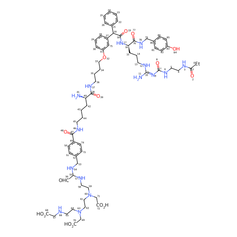 CCC(=O)NCCNC(=O)/N=C(/N)NCCC[C@@H](NC(=O)C(c1ccccc1)c1cccc(OCCCCNC(=O)[C@H](N)CCCCNC(=O)c2ccc(CNC(C=O)NCCN(CCN(CCNCC(=O)O)CC(=O)O)CC(=O)O)cc2)c1)C(=O)NCc1ccc(O)cc1